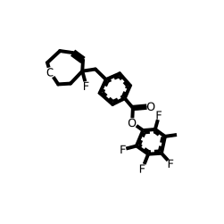 Cc1c(F)c(F)c(F)c(OC(=O)c2ccc(CC3(F)C#CCCCCC3)cc2)c1F